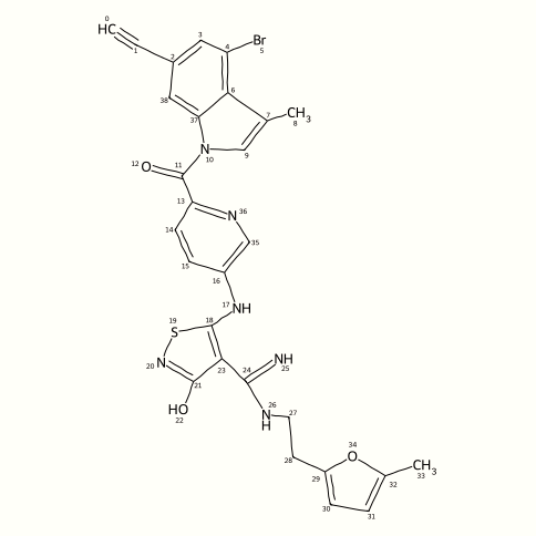 C#Cc1cc(Br)c2c(C)cn(C(=O)c3ccc(Nc4snc(O)c4C(=N)NCCc4ccc(C)o4)cn3)c2c1